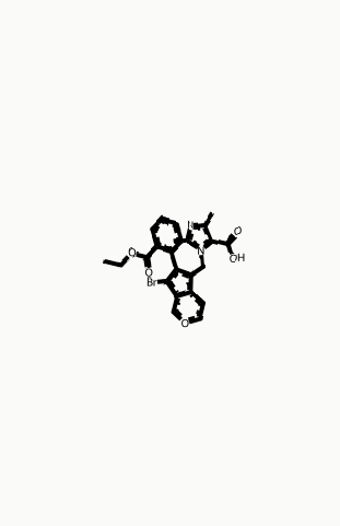 CCOC(=O)c1ccccc1-c1c(Br)c2coccc-2c1Cn1c(C)nc(C)c1C(=O)O